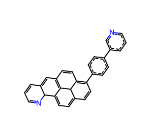 C1=CC2=CC3=C4C(=CC=C5C=CC(c6ccc(-c7cccnc7)cc6)=C(C=C3)C54)C2N=C1